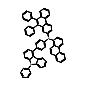 c1ccc(-c2c(-c3ccccc3)c3cc(N(c4ccc(-c5cccc6c5c5ccccc5n6-c5ccccc5)cc4)c4cccc5c4ccc4ccccc45)ccc3c3ccccc23)cc1